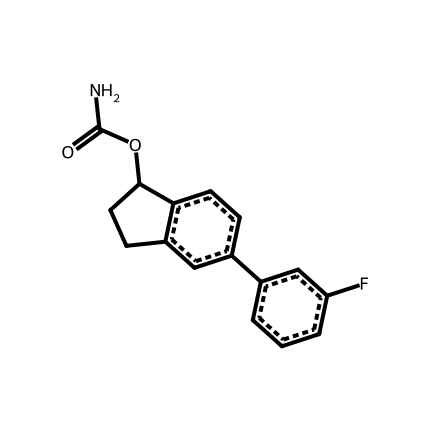 NC(=O)OC1CCc2cc(-c3cccc(F)c3)ccc21